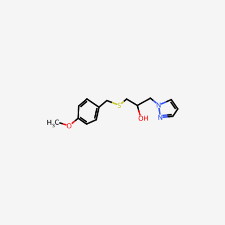 COc1ccc(CSCC(O)Cn2cccn2)cc1